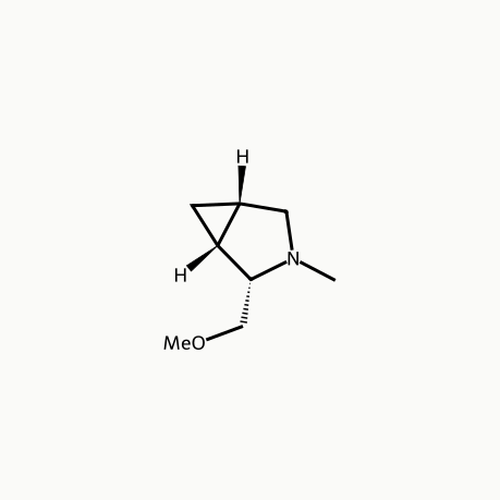 COC[C@@H]1[C@@H]2C[C@@H]2CN1C